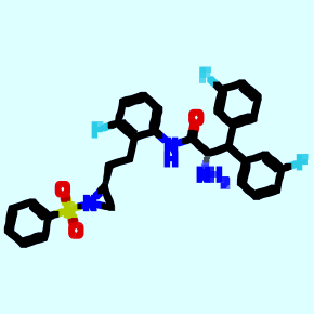 N[C@H](C(=O)Nc1cccc(F)c1CC[C@H]1CN1S(=O)(=O)c1ccccc1)C(c1cccc(F)c1)c1cccc(F)c1